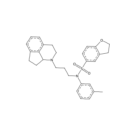 Cc1cccc(N(CCCN2CCc3cccc4c3C2CC4)S(=O)(=O)c2ccc3c(c2)CCO3)c1